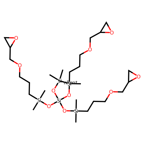 CCCCC[Si](C)(C)O[Si](O[Si](C)(C)CCCOCC1CO1)(O[Si](C)(C)CCCOCC1CO1)O[Si](C)(C)CCCOCC1CO1